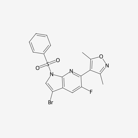 Cc1noc(C)c1-c1nc2c(cc1F)c(Br)cn2S(=O)(=O)c1ccccc1